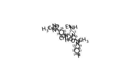 CCNCCN(CC(=O)N(C)N1Cc2ccc(F)cc2C1)C(=O)CNc1ccc(-c2nc(C)no2)cc1C